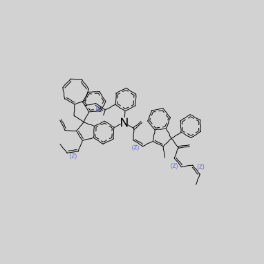 C=CC1=C(/C=C\C)c2ccc(N(C(=C)/C=C\C3=C(C)C(C(=C)/C=C\C=C/C)(c4ccccc4)c4ccccc43)c3ccccc3/C(C)=C/C)cc2C1(CC1=CC=CC=CC1)c1ccccc1